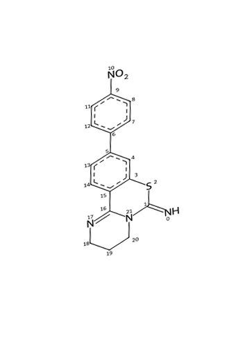 N=C1Sc2cc(-c3ccc([N+](=O)[O-])cc3)ccc2C2=NCCCN12